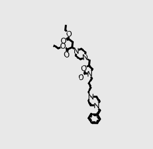 CCOC(=O)CC(C(=O)OCC)N1CCN(CC2CN(CCCCN3CCN(Cc4ccccc4)CC3)C(=O)O2)CC1